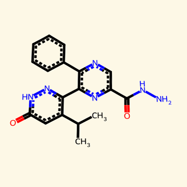 CC(C)c1cc(=O)[nH]nc1-c1nc(C(=O)NN)cnc1-c1ccccc1